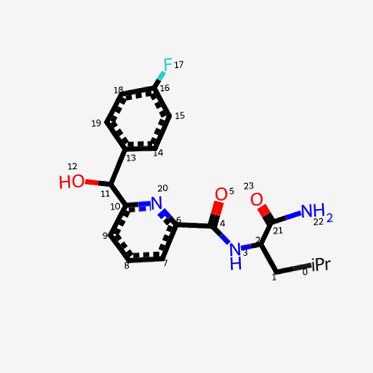 CC(C)CC(NC(=O)c1cccc(C(O)c2ccc(F)cc2)n1)C(N)=O